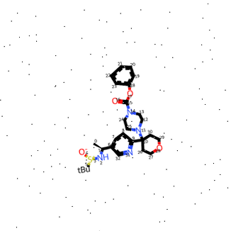 C[C@H](N[S+]([O-])C(C)(C)C)c1ccc(C2(N3CCN(C(=O)Oc4ccccc4)CC3)CCOCC2)nc1